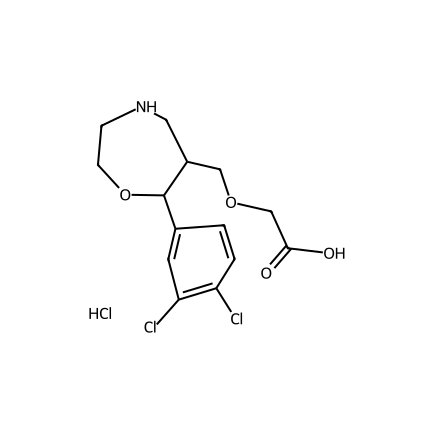 Cl.O=C(O)COCC1CNCCOC1c1ccc(Cl)c(Cl)c1